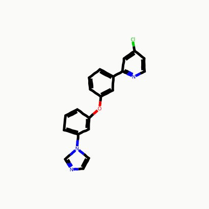 Clc1ccnc(-c2cccc(Oc3cccc(-n4ccnc4)c3)c2)c1